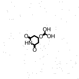 O=C(O)O.O=C1CCCC(=O)N1